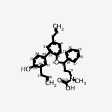 C=CCc1ccc(OC(CCN(C)C(=O)O)c2ccccc2)c(-c2ccc(O)c(CC=C)c2)c1